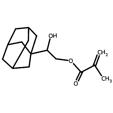 C=C(C)C(=O)OCC(O)C12CC3CC(CC(C3)C1)C2